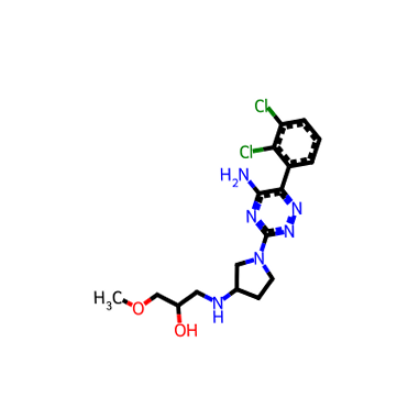 COCC(O)CNC1CCN(c2nnc(-c3cccc(Cl)c3Cl)c(N)n2)C1